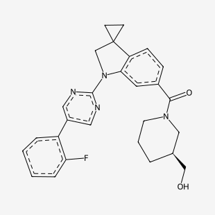 O=C(c1ccc2c(c1)N(c1ncc(-c3ccccc3F)cn1)CC21CC1)N1CCC[C@H](CO)C1